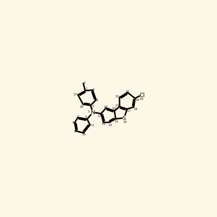 Cc1ccc(N(c2ccccc2)c2ccc3sc4cc(Cl)ccc4c3c2)cc1